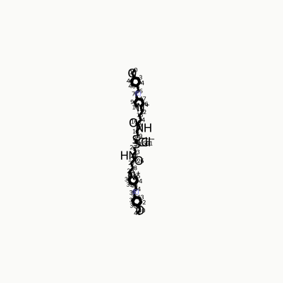 COc1ccc(/C=C/c2cc[n+](CCCC(=O)NCCSSCCNC(=O)CCC[n+]3ccc(/C=C/c4ccc(OC)cc4)cc3)cc2)cc1.[Cl-].[Cl-]